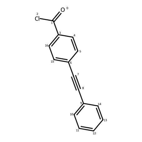 O=C(Cl)c1ccc(C#Cc2ccccc2)cc1